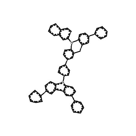 c1ccc(-c2ccc3c(c2)Cc2cc(-c4ccc(-n5c6ccc(-c7ccccc7)cc6c6cc(-c7ccccc7)ccc65)cc4)ccc2N3c2ccc3ccccc3c2)cc1